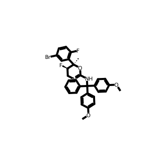 COc1ccc(C(NC2=NC[C@@H](F)[C@@](C)(c3cc(Br)ccc3F)O2)(c2ccccc2)c2ccc(OC)cc2)cc1